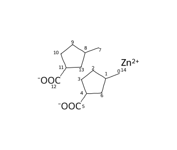 CC1CCC(C(=O)[O-])C1.CC1CCC(C(=O)[O-])C1.[Zn+2]